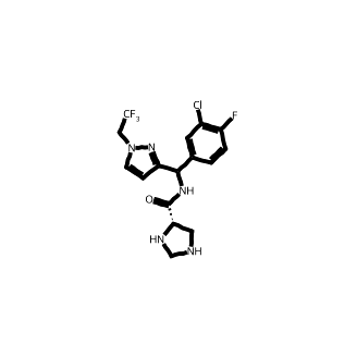 O=C(NC(c1ccc(F)c(Cl)c1)c1ccn(CC(F)(F)F)n1)[C@@H]1CNCN1